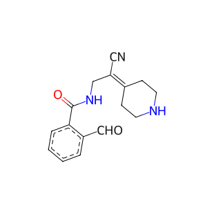 N#CC(CNC(=O)c1ccccc1C=O)=C1CCNCC1